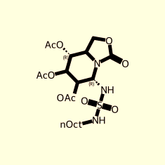 CCCCCCCCNS(=O)(=O)N[C@@H]1C(OC(C)=O)C(OC(C)=O)[C@H](OC(C)=O)C2COC(=O)N21